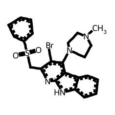 CN1CCN(c2c(Br)c(CS(=O)(=O)c3ccccc3)nc3[nH]c4ccccc4c23)CC1